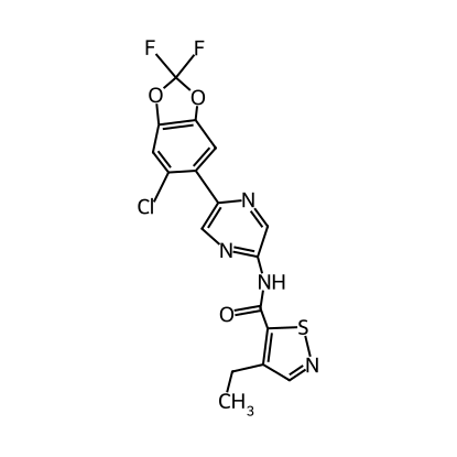 CCc1cnsc1C(=O)Nc1cnc(-c2cc3c(cc2Cl)OC(F)(F)O3)cn1